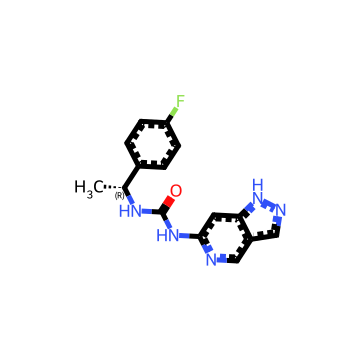 C[C@@H](NC(=O)Nc1cc2[nH]ncc2cn1)c1ccc(F)cc1